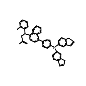 C=C(C)CC(c1ccccc1C)c1ccc(-c2ccc(N(c3ccc4c(c3)C=CC4)c3ccc4c(c3)CC=C4)cc2)c2ccccc12